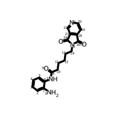 Nc1ccccc1NC(=O)CCCCCN1C(=O)c2ccncc2C1=O